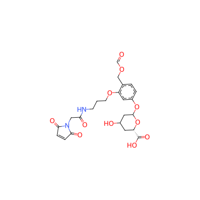 O=COCc1ccc(OC2CC(O)C[C@@H](C(=O)O)O2)cc1OCCCNC(=O)CN1C(=O)C=CC1=O